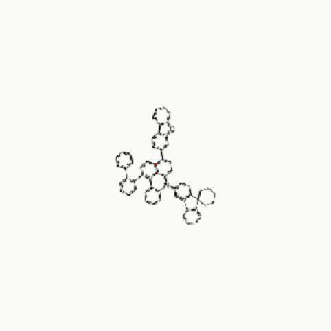 c1ccc(-c2ccccc2-c2ccccc2-c2ccccc2N(c2ccc(-c3ccc4c(c3)oc3ccccc34)cc2)c2ccc3c(c2)-c2ccccc2C32CCCCC2)cc1